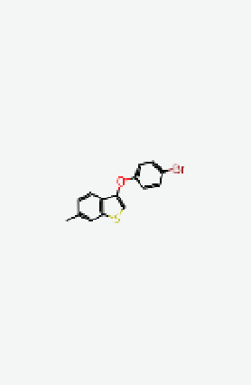 Cc1ccc2c(Oc3ccc(Br)cc3)csc2c1